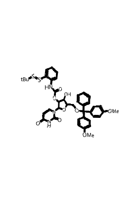 COc1ccc(C(OCC2OC(n3ccc(=O)[nH]c3=O)C(OC(=O)Nc3ccccc3SSC(C)(C)C)C2O)(c2ccccc2)c2ccc(OC)cc2)cc1